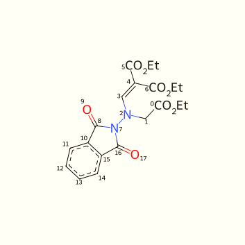 CCOC(=O)CN(C=C(C(=O)OCC)C(=O)OCC)N1C(=O)c2ccccc2C1=O